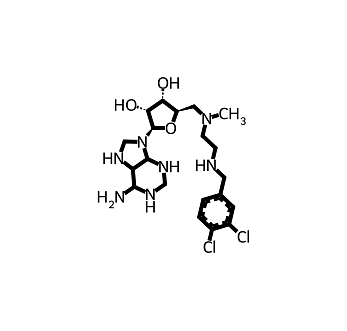 CN(CCNCc1ccc(Cl)c(Cl)c1)C[C@H]1O[C@@H](N2CNC3C(N)NCNC32)[C@H](O)[C@@H]1O